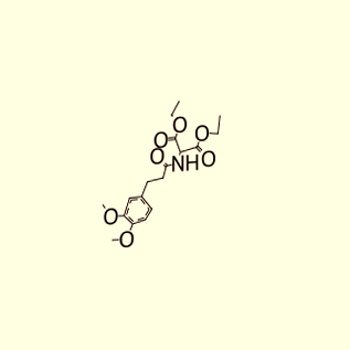 CCOC(=O)C(NC(=O)CCc1ccc(OC)c(OC)c1)C(=O)OCC